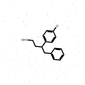 O=[C]CCC(Cc1ccccc1)c1ccc(Cl)cc1